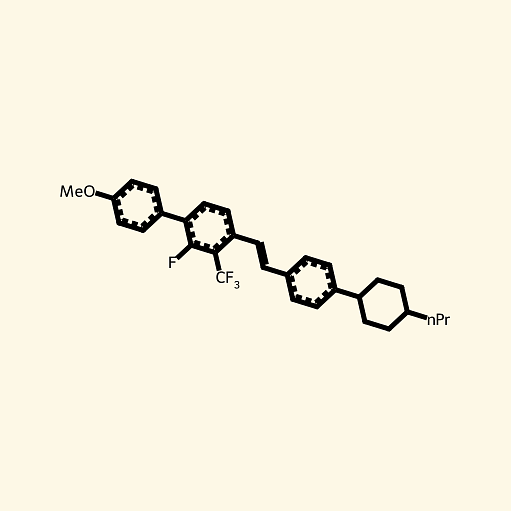 CCCC1CCC(c2ccc(/C=C/c3ccc(-c4ccc(OC)cc4)c(F)c3C(F)(F)F)cc2)CC1